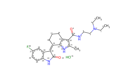 CCN(CC)CCNC(=O)c1c(C)[nH]c2c1CCCC2=C1C(=O)Nc2ccc(F)cc21.Cl